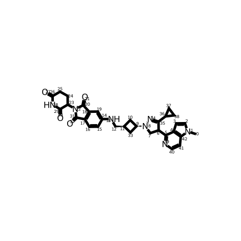 Cn1ccc2c(C3CN([C@H]4C[C@H](CNc5ccc6c(c5)C(=O)N(C5CCC(=O)NC5=O)C6=O)C4)N=C3C3CC3)nccc21